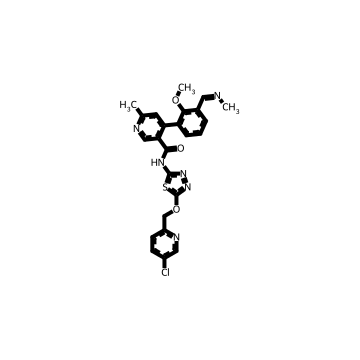 C/N=C\c1cccc(-c2cc(C)ncc2C(=O)Nc2nnc(OCc3ccc(Cl)cn3)s2)c1OC